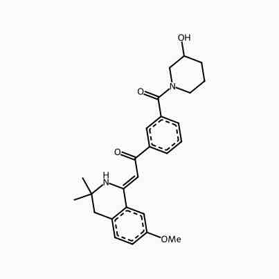 COc1ccc2c(c1)C(=CC(=O)c1cccc(C(=O)N3CCCC(O)C3)c1)NC(C)(C)C2